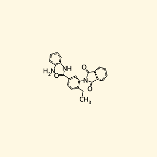 CCc1ccc(C(=O)Nc2ccccc2N)cc1N1C(=O)c2ccccc2C1=O